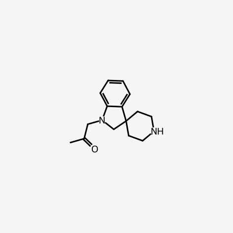 CC(=O)CN1CC2(CCNCC2)c2ccccc21